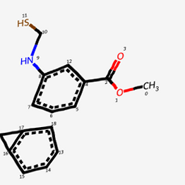 COC(=O)c1cccc(NCS)c1.c1ccc2c(c1)C2